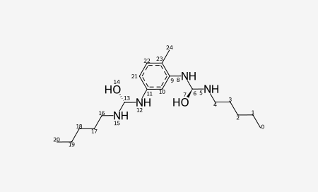 CCCCCN[C@@H](O)Nc1cc(N[C@@H](O)NCCCCC)ccc1C